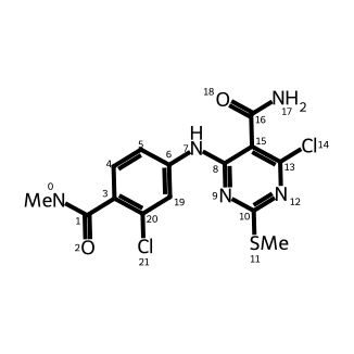 CNC(=O)c1ccc(Nc2nc(SC)nc(Cl)c2C(N)=O)cc1Cl